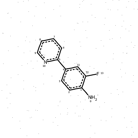 Nc1ccc(-c2ccccn2)cc1F